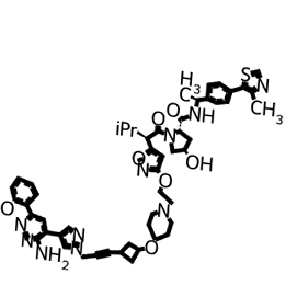 Cc1ncsc1-c1ccc([C@H](C)NC(=O)[C@@H]2C[C@@H](O)CN2C(=O)[C@@H](c2cc(OCCN3CCC(OC4CC(C#CCn5cc(-c6cc(-c7ccccc7O)nnc6N)cn5)C4)CC3)no2)C(C)C)cc1